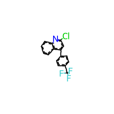 FC(F)(F)c1ccc(-c2cc(Cl)nc3ccccc23)cc1